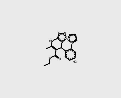 CCOC(=O)C1=C(C)Nc2nnnn2C1c1ccccc1-n1cccn1.Cl